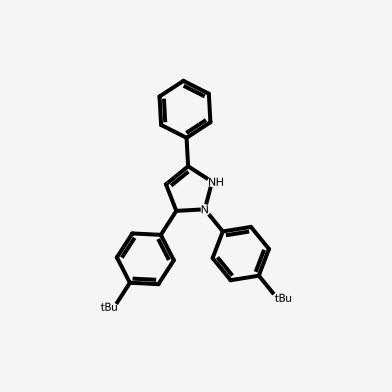 CC(C)(C)c1ccc(C2C=C(c3ccccc3)NN2c2ccc(C(C)(C)C)cc2)cc1